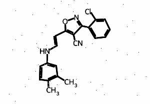 Cc1ccc(NC=Cc2onc(-c3ccccc3Cl)c2C#N)cc1C